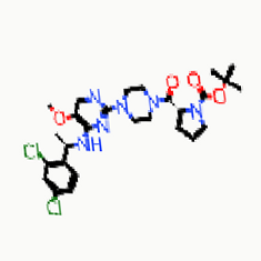 COc1cnc(N2CCN(C(=O)[C@H]3CCCN3C(=O)OC(C)(C)C)CC2)nc1N[C@H](C)c1ccc(Cl)cc1Cl